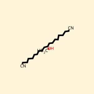 N#CCCCCCCCCCCCCCCCCCCC#N.O=C(O)O